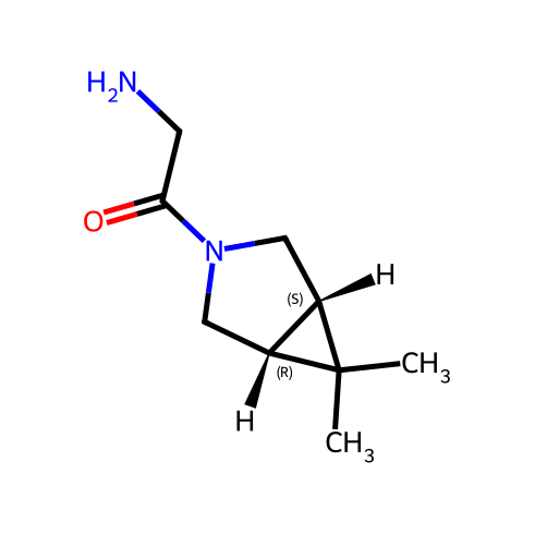 CC1(C)[C@@H]2CN(C(=O)CN)C[C@@H]21